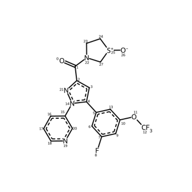 O=C(c1cc(-c2cc(F)cc(OC(F)(F)F)c2)n(-c2cccnc2)n1)N1CC[S+]([O-])C1